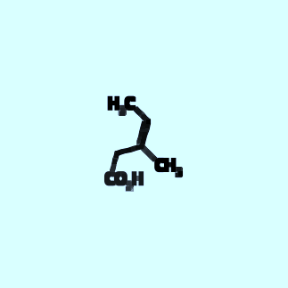 C/C=C(/C)CC(=O)O